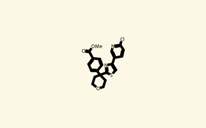 COC(=O)c1ccc(C2(c3nc(-c4ccc(Cl)nc4)cs3)CCOCC2)cc1